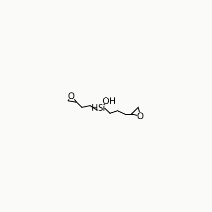 O[SiH](CCCC1CO1)CCCC1CO1